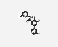 O=C(Nc1cccc(Cl)n1)c1cc(-c2cncc(F)c2)cc(F)c1F